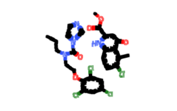 CCCN(CCOc1c(Cl)cc(Cl)cc1Cl)C(=O)n1ccnc1.COC(=O)c1cc(=O)c2c(C)c(Cl)ccc2[nH]1